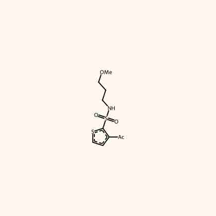 COCCCNS(=O)(=O)c1sccc1C(C)=O